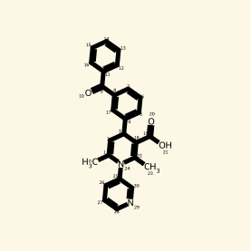 CC1=CC(c2cccc(C(=O)c3ccccc3)c2)C(C(=O)O)=C(C)N1c1cccnc1